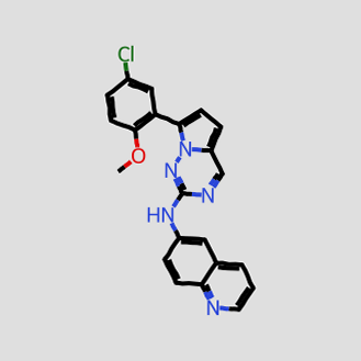 COc1ccc(Cl)cc1-c1ccc2cnc(Nc3ccc4ncccc4c3)nn12